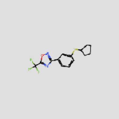 FC(F)(F)c1nc(-c2cc[c]c(SC3CCCC3)c2)no1